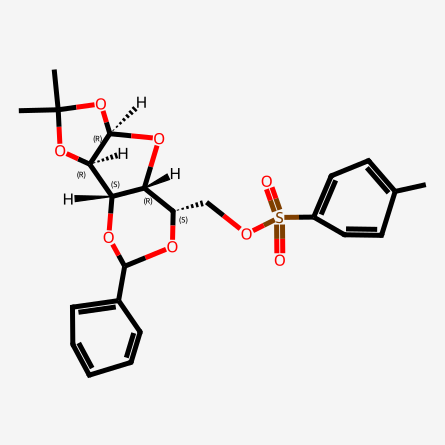 Cc1ccc(S(=O)(=O)OC[C@@H]2OC(c3ccccc3)O[C@@H]3[C@H]4OC(C)(C)O[C@H]4O[C@@H]32)cc1